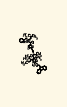 CC[C@H](C)[C@H](NC(=O)OCC1c2ccccc2-c2ccccc21)C(=O)N(C)[C@H](C#Cc1nc(C(=O)N[C@H](C=C(C)C)Cc2ccccc2)cs1)C(C)C